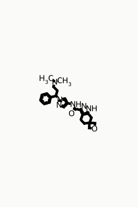 CN(C)CCC(c1ccccc1)n1cc(NC(=O)c2n[nH]c3c2CCC2(COC2)C3)cn1